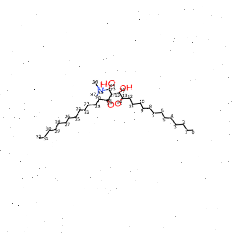 CCCCCCCCCCCCCC(=O)C(O)C(C(=O)CCCCCCCCCCCCC)C(O)N(C)C